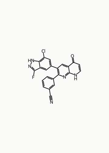 N#Cc1cccc(-c2nc3[nH]ccc(=O)c3cc2-c2cc(Cl)c3[nH]nc(F)c3c2)c1